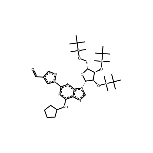 CC(C)(C)[Si](C)(C)OC[C@H]1O[C@@H](n2cnc3c(NC4CCCC4)nc(-n4cc(C=O)cn4)nc32)[C@H](O[Si](C)(C)C(C)(C)C)[C@@H]1O[Si](C)(C)C(C)(C)C